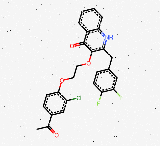 CC(=O)c1ccc(OCCOc2c(Cc3ccc(F)c(F)c3)[nH]c3ccccc3c2=O)c(Cl)c1